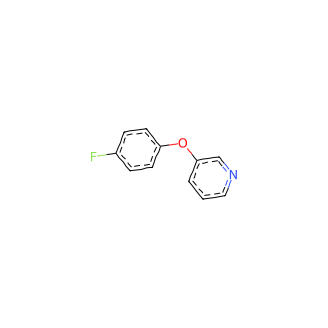 Fc1ccc(Oc2cccnc2)cc1